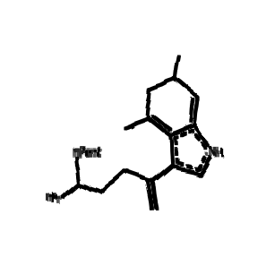 C=C(CCC(CCC)CCCCC)c1c[nH]c2c1=C(C)CC(C)C=2